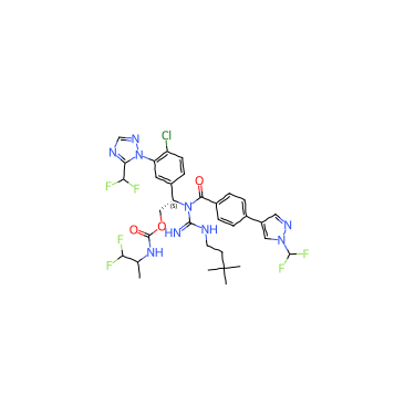 CC(NC(=O)OC[C@H](c1ccc(Cl)c(-n2ncnc2C(F)F)c1)N(C(=N)NCCC(C)(C)C)C(=O)c1ccc(-c2cnn(C(F)F)c2)cc1)C(F)F